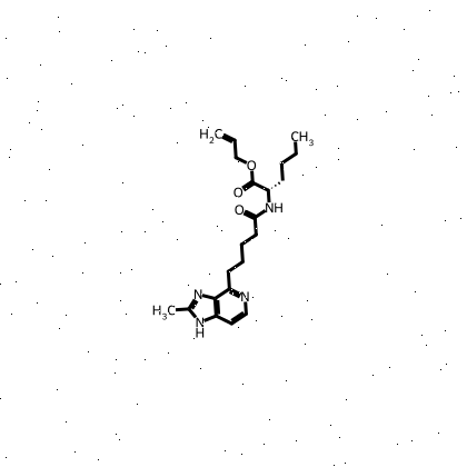 C=CCOC(=O)[C@H](CCCC)NC(=O)CCCCc1nccc2[nH]c(C)nc12